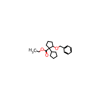 CCOC(=O)C1(C2CCCC2)CCCC1OCc1ccccc1